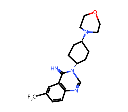 N=c1c2cc(C(F)(F)F)ccc2ncn1[C@H]1CC[C@H](N2CCOCC2)CC1